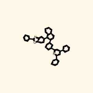 c1ccc(-c2cc(-c3ccccc3)nc(-c3cccc(-c4ccc5ccccc5c4-c4ccc5oc(-c6ccccc6)nc5c4)c3)c2)cc1